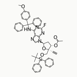 C#C[C@]1(CO[Si](c2ccccc2)(c2ccccc2)C(C)(C)C)O[C@@H](n2cnc3c(NC(c4ccccc4)(c4ccccc4)c4ccc(OC)cc4)nc(F)nc32)C[C@@H]1OC(C)=O